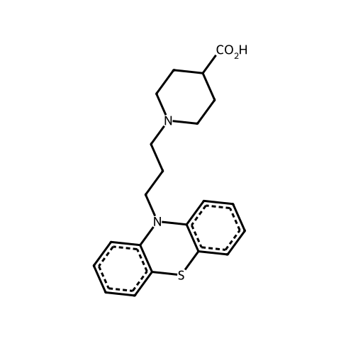 O=C(O)C1CCN(CCCN2c3ccccc3Sc3ccccc32)CC1